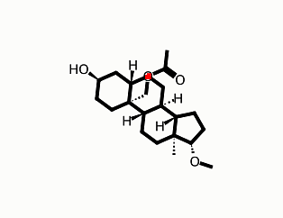 CO[C@H]1CC[C@H]2[C@@H]3CC[C@H]4C[C@H](O)CC[C@]4(COC(C)=O)[C@H]3CC[C@]12C